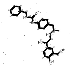 C[C@H](Cc1ccc(NC(=O)NCc2ccccc2)cc1)NCC(O)c1ccc(O)c(CO)c1